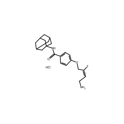 Cl.NC/C=C(/F)COc1ccc(C(=O)NC23CC4CC(CC(C4)C2)C3)cc1